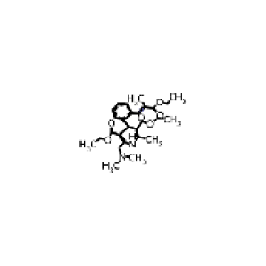 CCOC(=O)C1=C(C)NC(CN(C)C)=C(C(=O)OCC)C1c1ccccc1/C=C(\C)C(=O)OCC